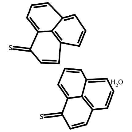 O.S=C1C=Cc2cccc3cccc1c23.S=C1C=Cc2cccc3cccc1c23